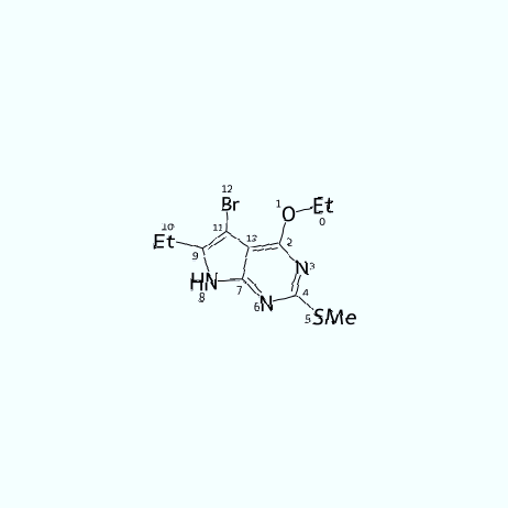 CCOc1nc(SC)nc2[nH]c(CC)c(Br)c12